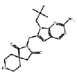 CC(C)(C)Cn1c(CN2C(=O)CC3(CCNCC3)C2=O)cc2cnc(N)nc21